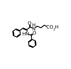 O=C(O)CCCNC(=O)C(=Cc1ccccc1)NC(=O)c1ccccc1